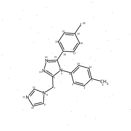 Cc1ccc(-n2c(Cn3ccnc3)nnc2-c2ccc(I)cc2)cc1